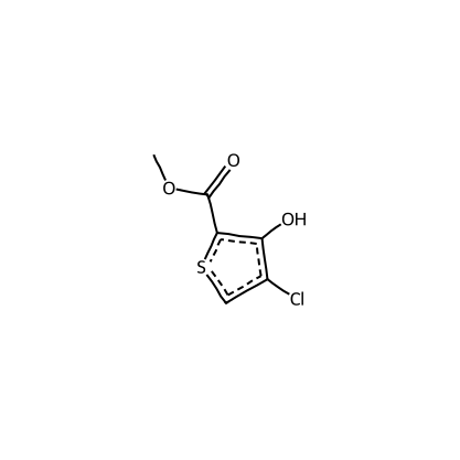 COC(=O)c1scc(Cl)c1O